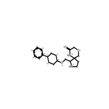 O=C1COCC2(CCNC2COC2CCC(c3ccccc3)CC2)N1